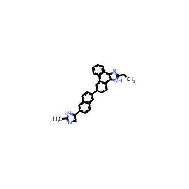 CCc1nc2c3ccccc3c3cc(-c4ccc5cc(-c6cnc(C)[nH]6)ccc5c4)ccc3c2[nH]1